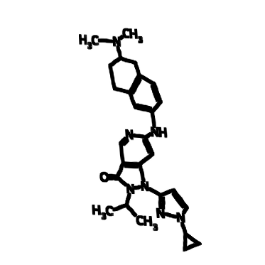 CC(C)n1c(=O)c2cnc(Nc3ccc4c(c3)CCC(N(C)C)C4)cc2n1-c1ccn(C2CC2)n1